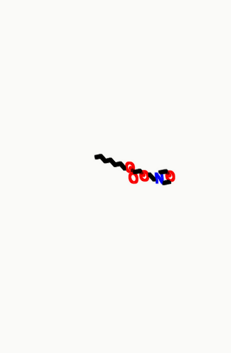 CCCCCCCOC(=O)COCCN1CCOCC1